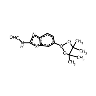 CC1(C)OB(c2ccc3nc(NC=O)sc3c2)OC1(C)C